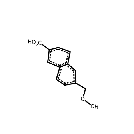 O=C(O)c1ccc2cc(COO)ccc2c1